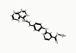 CC(C)(C)OC(=O)c1ccnc(Oc2ccc(CCNc3ncnc4nccnc34)cc2)c1